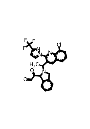 C[C@@H](c1cc2cccc(Cl)c2nc1-n1ccc(C(F)(F)F)n1)N1Cc2ccccc2C1C(=O)C=O